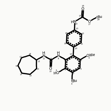 COc1cc(C(C)(C)C)c(O)c(NC(=O)NC2CCCCCC2)c1-c1ccc(NC(=O)OC(C)(C)C)cc1